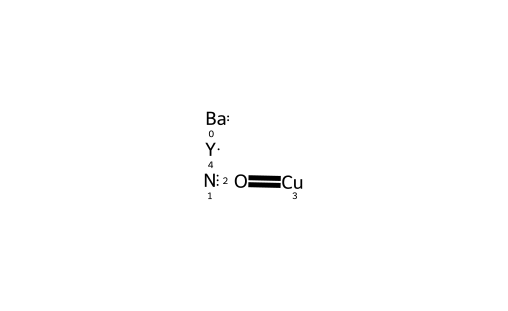 [Ba].[N].[O]=[Cu].[Y]